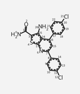 NC(=O)c1sc2nc(-c3ccc(Cl)cc3)cc(-c3ccc(Cl)cc3)c2c1N